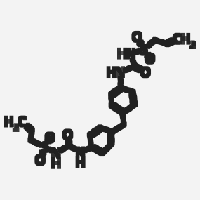 C=CCS(=O)(=O)NC(=O)Nc1ccc(Cc2ccc(NC(=O)NS(=O)(=O)CC=C)cc2)cc1